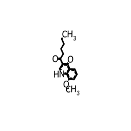 CCCCCC(=O)c1c[nH]c2c(OC)cccc2c1=O